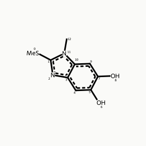 CSc1nc2cc(O)c(O)cc2n1C